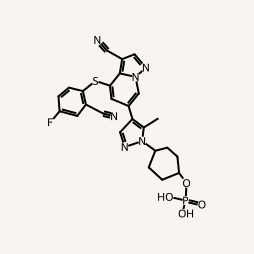 Cc1c(-c2cc(Sc3ccc(F)cc3C#N)c3c(C#N)cnn3c2)cnn1C1CCC(OP(=O)(O)O)CC1